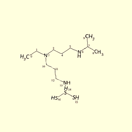 CCN(CCCNC(C)C)CCCN[SH](S)S